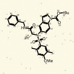 COc1cc(C)c(S(=O)(=O)N(c2ccc3c(ccn3C(=O)OC(C)(C)C)c2)[C@@H](C(=O)NCc2ccccc2)C(C)C)cc1C